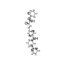 O=C(C=Cc1cnc(N[C@@H]2CCCN(c3ncccn3)C2)cn1)NOC1CCCCO1